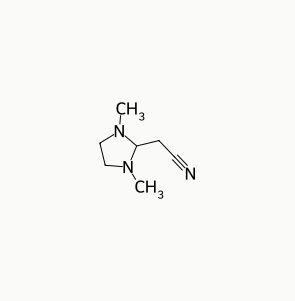 CN1CCN(C)C1CC#N